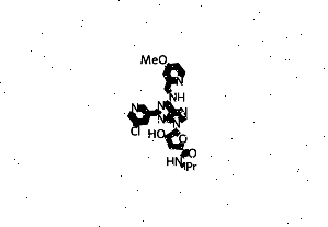 COc1ccnc(CNc2nc(-c3cncc(Cl)c3)nc3c2ncn3[C@@H]2O[C@H](C(=O)NC(C)C)C[C@H]2O)c1